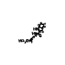 O=C(NCC[C@H]1C[C@@H]1C(=O)O)c1cc2ccccc2[nH]1